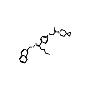 CCCC/C(=N\OCc1ccc2ccccc2c1)c1ccc(OCC(=O)N2CCC3(CC2)CC3)cc1